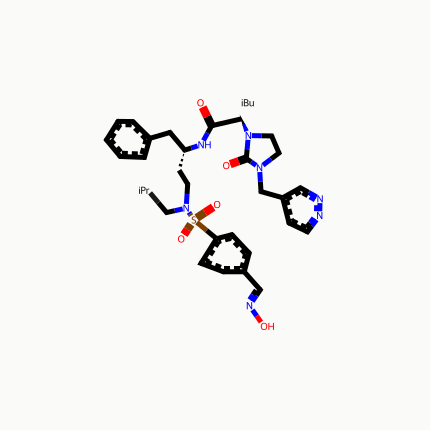 CC[C@H](C)[C@H](C(=O)N[C@H](CCN(CC(C)C)S(=O)(=O)c1ccc(/C=N/O)cc1)Cc1ccccc1)N1CCN(Cc2ccnnc2)C1=O